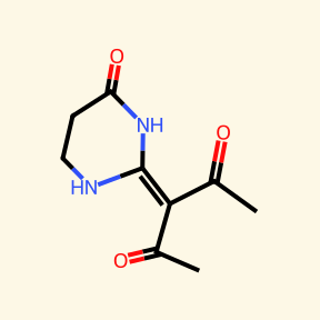 CC(=O)C(C(C)=O)=C1NCCC(=O)N1